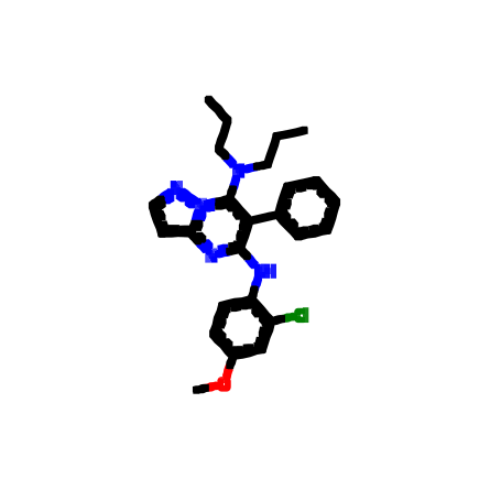 CCCN(CCC)c1c(-c2ccccc2)c(Nc2ccc(OC)cc2Cl)nc2ccnn12